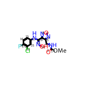 COC(=O)NCc1nonc1C(=NO)Nc1ccc(F)c(Cl)c1